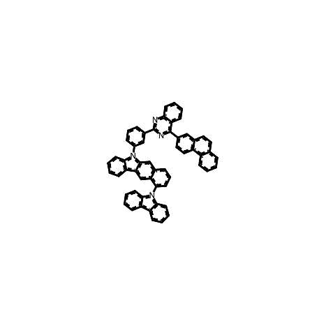 c1cc(-c2nc(-c3ccc4c(ccc5ccccc54)c3)c3ccccc3n2)cc(-n2c3ccccc3c3cc4c(-n5c6ccccc6c6ccccc65)cccc4cc32)c1